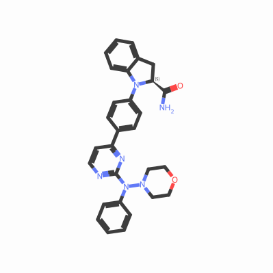 NC(=O)[C@@H]1Cc2ccccc2N1c1ccc(-c2ccnc(N(c3ccccc3)N3CCOCC3)n2)cc1